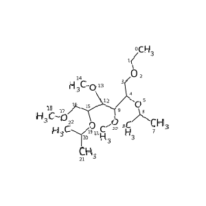 CCOCC(OC(C)C)C(OC)C(OC)C(COC)OC(C)C